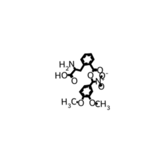 COc1ccc(C(OC(=O)c2ccccc2CC(N)C(=O)O)[N+](=O)[O-])cc1OC